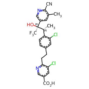 Cc1cc([C@](O)([C@H](C)c2ccc(CCc3ncc(C(=O)O)cc3Cl)cc2Cl)C(F)(F)F)cnc1C#N